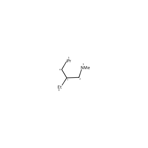 CCC(CNC)CC(C)C